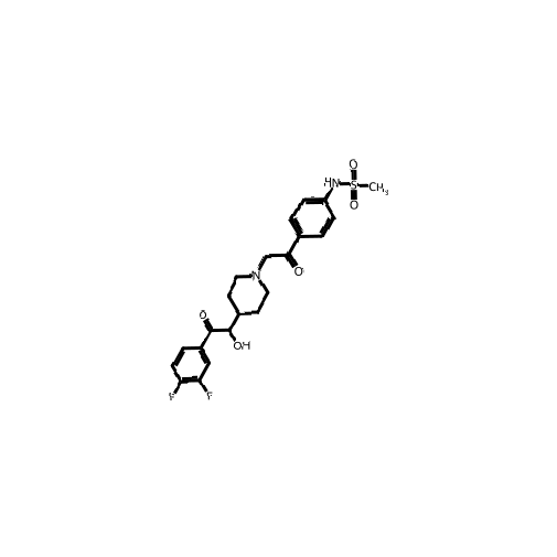 CS(=O)(=O)Nc1ccc(C(=O)CN2CCC(C(O)C(=O)c3ccc(F)c(F)c3)CC2)cc1